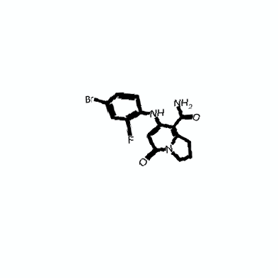 NC(=O)c1c(Nc2ccc(Br)cc2F)cc(=O)n2c1CCC2